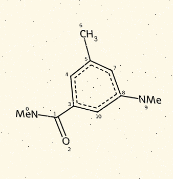 CNC(=O)c1cc(C)cc(NC)c1